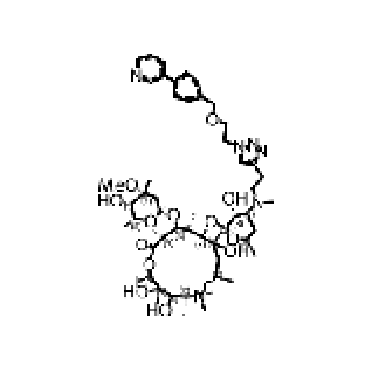 CO[C@]1(C)C[C@H](O[C@H]2[C@H](C)[C@@H](O[C@@H]3O[C@H](C)C[C@H](N(C)CCc4cn(CCOCc5ccc(-c6cccnc6)cc5)nn4)[C@H]3O)[C@](C)(O)C[C@@H](C)CN(C)[C@H](C)[C@@H](O)[C@](C)(O)[C@@H](I)OC(=O)[C@@H]2C)O[C@@H](C)[C@@H]1O